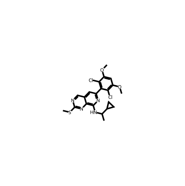 COc1cc(OC)c(Cl)c(-c2cc3cnc(SC)nc3c(NC(C)C3CC3)n2)c1Cl